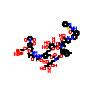 Cc1c(-c2ccc(N3CCc4cccc(C(=O)Nc5nc6ccccc6s5)c4C3)nc2C(=O)O)cnn1CC12CC(OCCN(CC[C@@H](O)[C@H](O)[C@H](O)CO)C(=O)OCc3ccc(NC(=O)[C@H](C)NC(=O)[C@@H](NC(=O)CC4C(=O)[C@@H](N5C(=O)C=CC5=O)C[C@H]4COCCS(=O)(=O)O)C(C)C)cc3CC[C@@H]3O[C@H](C(=O)O)[C@@H](O)[C@H](O)[C@H]3O)C3CCC(C)(C1)CC3(C)C2